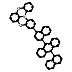 c1ccc2c(c1)Oc1cccc3c1B2c1ccc(-c2ccc(-c4c5ccccc5c(-c5cccc6ccccc56)c5ccccc45)c4ccccc24)cc1O3